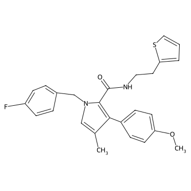 COc1ccc(-c2c(C)cn(Cc3ccc(F)cc3)c2C(=O)NCCc2cccs2)cc1